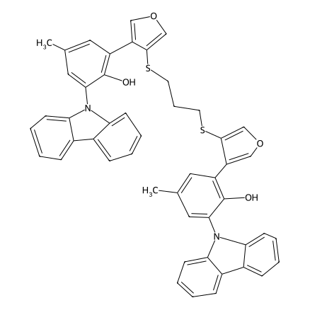 Cc1cc(-c2cocc2SCCCSc2cocc2-c2cc(C)cc(-n3c4ccccc4c4ccccc43)c2O)c(O)c(-n2c3ccccc3c3ccccc32)c1